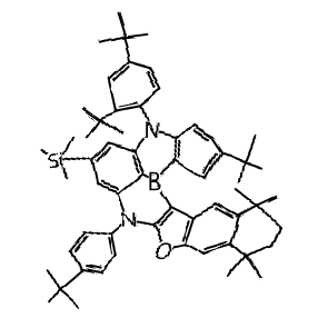 CC(C)(C)c1ccc(N2c3cc([Si](C)(C)C)cc4c3B(c3cc(C(C)(C)C)ccc3N4c3ccc(C(C)(C)C)cc3C(C)(C)C)c3c2oc2cc4c(cc32)C(C)(C)CCC4(C)C)cc1